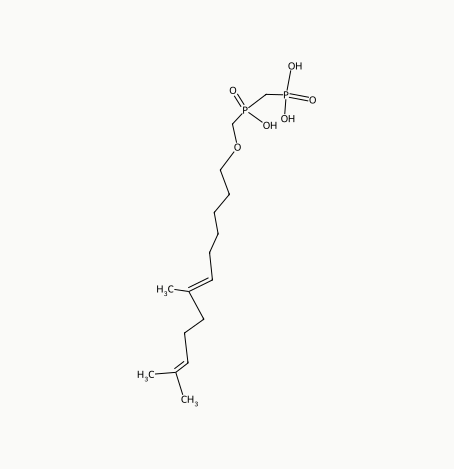 CC(C)=CCC/C(C)=C/CCCCCOCP(=O)(O)CP(=O)(O)O